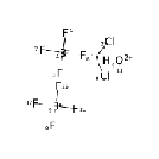 ClCCl.F[B-](F)(F)F.F[B-](F)(F)F.[OH4+2]